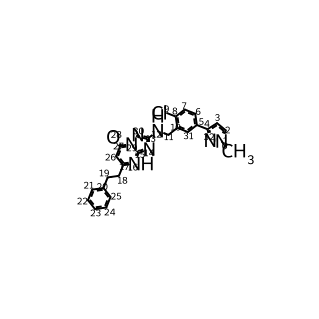 Cn1ccc(-c2ccc(Cl)c(CNc3nc4[nH]c(CCc5ccccc5)cc(=O)n4n3)c2)n1